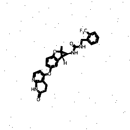 CC12Oc3ccc(Oc4ccnc5c4CCC(=O)N5)cc3[C@H]1[C@@H]2NC(=O)NCc1ccccc1C(F)(F)F